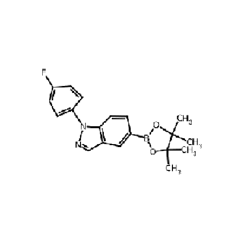 CC1(C)OB(c2ccc3c(cnn3-c3ccc(F)cc3)c2)OC1(C)C